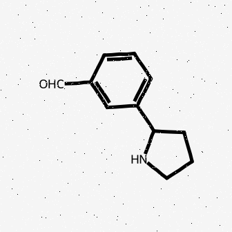 O=Cc1cccc(C2CCCN2)c1